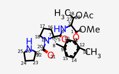 COC(=O)C(NC(=O)[C@]1(Cc2ccc(C)cc2)CCCN1C(=O)[C@@H]1CCCN1)C(C)OC(C)=O